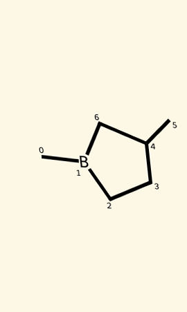 CB1CCC(C)C1